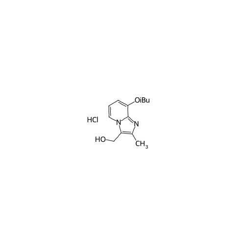 Cc1nc2c(OCC(C)C)cccn2c1CO.Cl